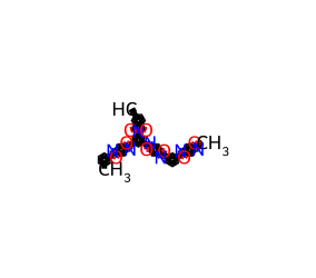 C#Cc1ccc2c(c1)C(=O)N(c1cc(-c3nc4cc5oc(-c6cccc(C)c6)nc5cc4o3)cc(-c3nc4cc5oc(-c6cccc(-c7nc8cc9oc(C)nc9cc8o7)c6)nc5cc4o3)c1)C2=O